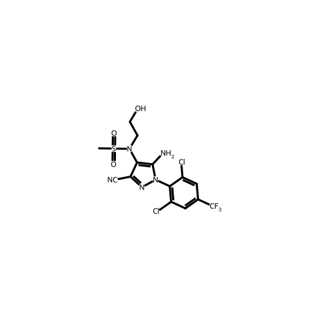 CS(=O)(=O)N(CCO)c1c(C#N)nn(-c2c(Cl)cc(C(F)(F)F)cc2Cl)c1N